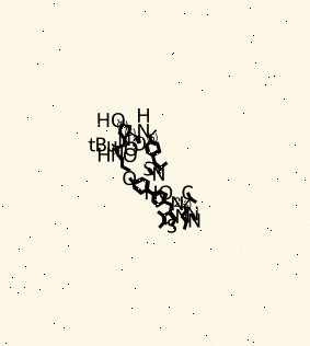 Cc1ncsc1-c1ccc([C@H](C)NC(=O)[C@@H]2C[C@@H](O)CN2C(=O)[C@@H](NC(=O)CCOc2ccc(-c3ccc(C4=N[C@@H](C(C)C(=O)O)c5nnc(C)n5-c5sc(C)c(C)c54)cc3)cc2)C(C)(C)C)cc1